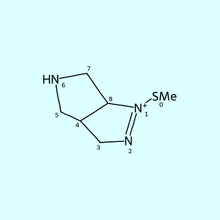 CS[N+]1=NCC2CNCC21